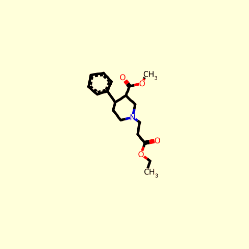 CCOC(=O)CCN1CCC(c2ccccc2)C(C(=O)OC)C1